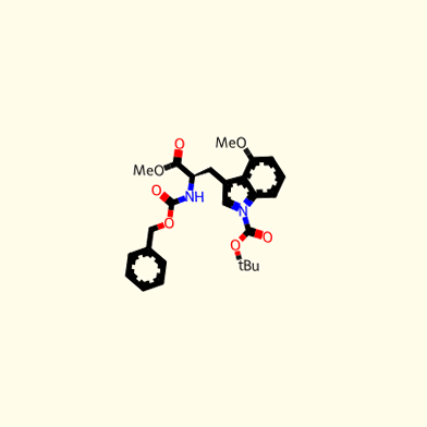 COC(=O)[C@@H](Cc1cn(C(=O)OC(C)(C)C)c2cccc(OC)c12)NC(=O)OCc1ccccc1